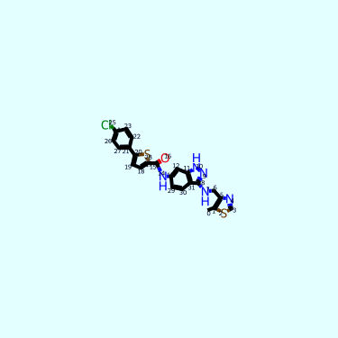 Cc1scnc1CNc1n[nH]c2cc(NC(=O)c3ccc(-c4ccc(Cl)cc4)s3)ccc12